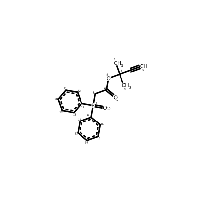 C#CC(C)(C)OC(=O)CP(=O)(c1ccccc1)c1ccccc1